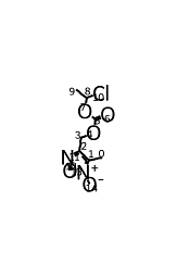 Cc1c(COC(=O)OC(C)Cl)no[n+]1[O-]